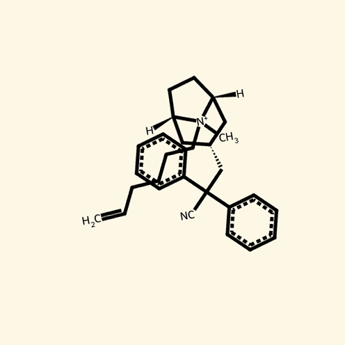 C=CCCCC[N+]1(C)[C@@H]2CC[C@H]1C[C@@H](CC(C#N)(c1ccccc1)c1ccccc1)C2